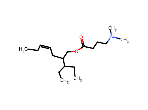 CC/C=C\CC(COC(=O)CCCN(C)C)C(CC)CC